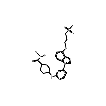 CCN(CC)C(=O)C1CCC(Nc2nccc(-n3ccc4c(OCCCS(C)(=O)=O)cccc43)n2)CC1